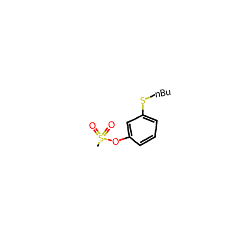 CCCCSc1cccc(OS(C)(=O)=O)c1